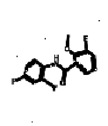 COc1c(F)cccc1C(=O)Nc1ccc(F)cc1F